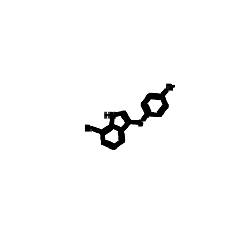 Brc1ccc(Sc2c[nH]c3c(Br)cccc23)cc1